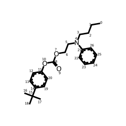 CCCCN(CCOC(=O)Oc1ccc(C(C)(C)C)cc1)c1ccccc1